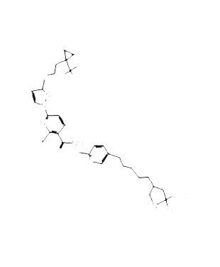 CC1(C)CC(CCCCCc2ccc(SNC(=O)c3ccc(N4C=CC(OCCC5(C(F)(F)F)CC5)N4)nc3Cl)nc2)CN1